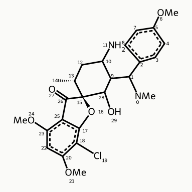 CNC(c1ccc(OC)cc1)C1C(N)C[C@@H](C)[C@]2(Oc3c(Cl)c(OC)cc(OC)c3C2=O)C1O